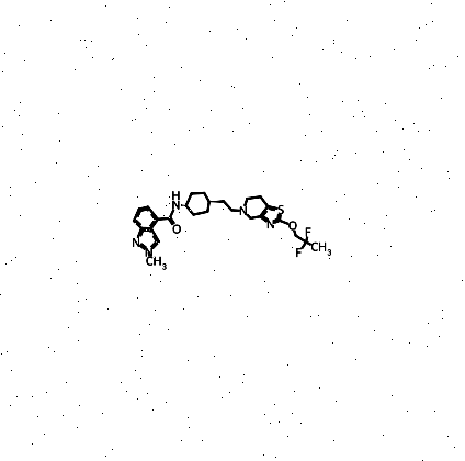 Cn1cc2c(C(=O)N[C@H]3CC[C@H](CCN4CCc5sc(OCC(C)(F)F)nc5C4)CC3)cccc2n1